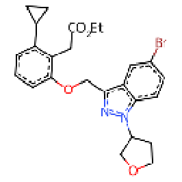 CCOC(=O)Cc1c(OCc2nn(C3CCOC3)c3ccc(Br)cc23)cccc1C1CC1